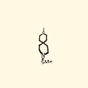 CSN1CCC2(CCN(I)CC2)CC1